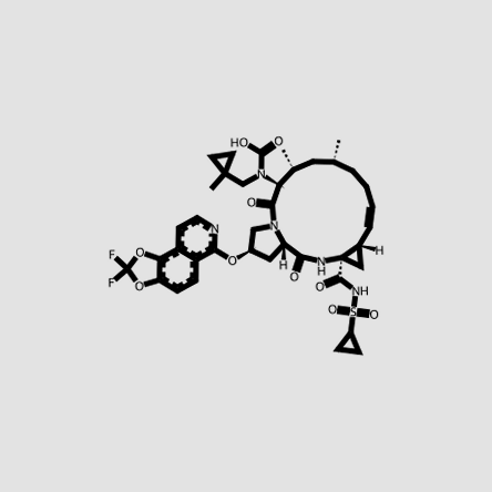 C[C@@H]1CC/C=C\[C@@H]2C[C@@]2(C(=O)NS(=O)(=O)C2CC2)NC(=O)[C@@H]2C[C@@H](Oc3nccc4c5c(ccc34)OC(F)(F)O5)CN2C(=O)[C@@H](N(CC2(C)CC2)C(=O)O)[C@H](C)C1